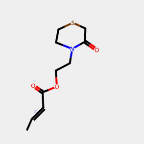 C/C=C/C(=O)OCCN1CCSCC1=O